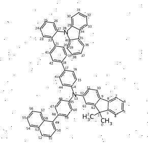 CC1(C)c2ccccc2-c2ccc(N(c3ccc(-c4ccc(-c5ccccc5-n5c6ccccc6c6ccccc65)cc4)cc3)c3ccc(-c4cccc5ccccc45)cc3)cc21